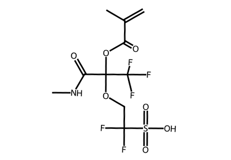 C=C(C)C(=O)OC(OCC(F)(F)S(=O)(=O)O)(C(=O)NC)C(F)(F)F